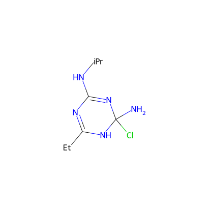 CCC1=NC(NC(C)C)=NC(N)(Cl)N1